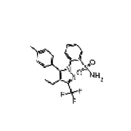 CCc1c(C(F)(F)F)nn(-c2ccccc2S(N)(=O)=O)c1-c1ccc(C)cc1